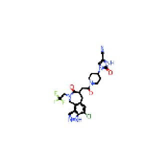 N#Cc1cn(C2CCN(C(=O)CC3Cc4cc(Cl)c5[nH]ncc5c4CN(CC(F)(F)F)C3=O)CC2)c(=O)[nH]1